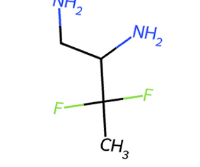 CC(F)(F)C(N)CN